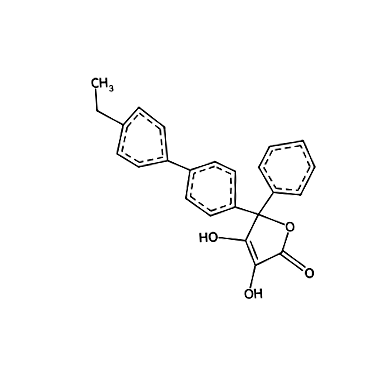 CCc1ccc(-c2ccc(C3(c4ccccc4)OC(=O)C(O)=C3O)cc2)cc1